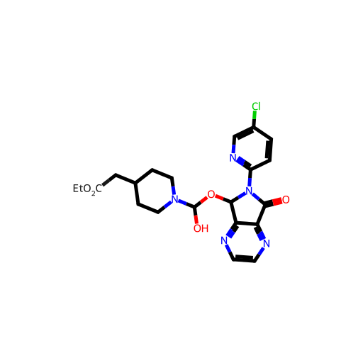 CCOC(=O)CC1CCN(C(O)OC2c3nccnc3C(=O)N2c2ccc(Cl)cn2)CC1